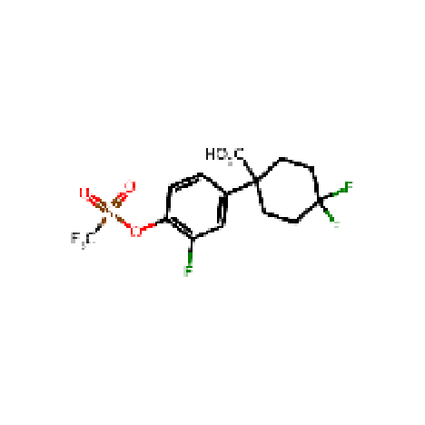 O=C(O)C1(c2ccc(OS(=O)(=O)C(F)(F)F)c(F)c2)CCC(F)(F)CC1